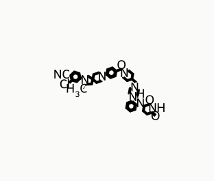 C[C@H]1CC2(CCN(c3ccc(C(=O)N4CCC(CN5CCN(c6ccccc6N[C@H]6CCC(=O)NC6=O)CC5)CC4)cc3)CC2)CN1c1ccc(C#N)c(Cl)c1